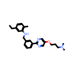 CCc1ccc(C)c(NCc2cccc(-c3ncc(OCCCN(C)C)cn3)c2)c1